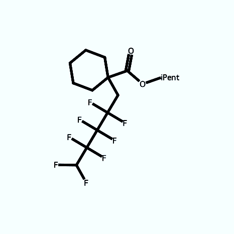 CCCC(C)OC(=O)C1(CC(F)(F)C(F)(F)C(F)(F)C(F)F)CCCCC1